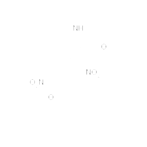 O=C1NCCCC([N+](=O)[O-])C1(C(=O)c1ccccc1)[N+](=O)[O-]